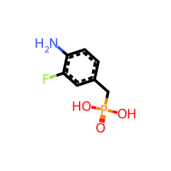 Nc1ccc(CP(=O)(O)O)cc1F